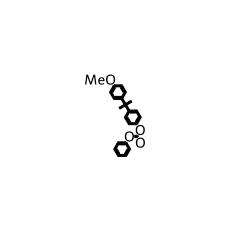 COc1ccc(C(C)(C)c2ccc(OC(=O)Oc3ccccc3)cc2)cc1